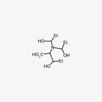 CCC(O)C(C(=O)O)N(C(O)CC)C(O)CC